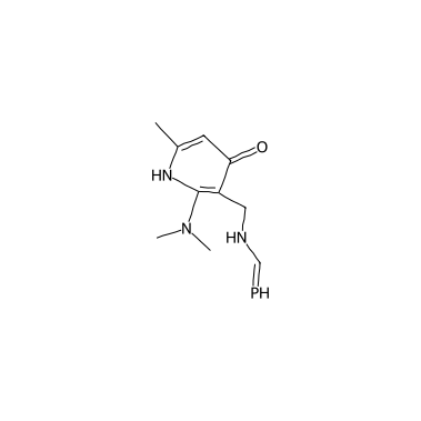 Cc1cc(=O)c(CNC=P)c(N(C)C)[nH]1